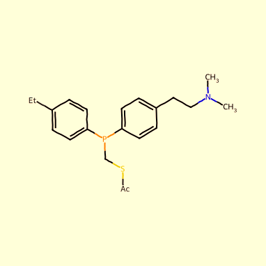 CCc1ccc(P(CSC(C)=O)c2ccc(CCN(C)C)cc2)cc1